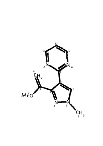 C=C(OC)c1nn(C)cc1-c1ncccn1